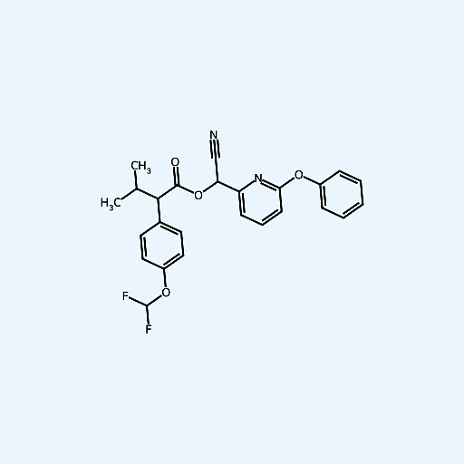 CC(C)C(C(=O)OC(C#N)c1cccc(Oc2ccccc2)n1)c1ccc(OC(F)F)cc1